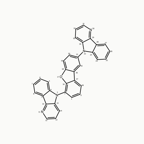 c1cc(-n2c3ccccc3c3ncccc32)c2oc3ccc(-n4c5ccccc5c5ncccc54)cc3c2c1